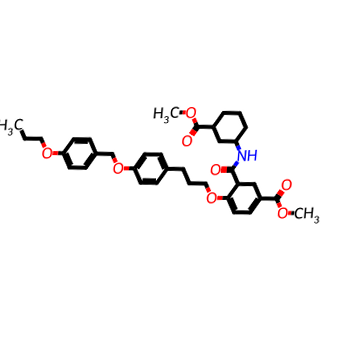 CCCOc1ccc(COc2ccc(CCCOC3=CC=C(C(=O)OC)CC3C(=O)NC3CCCC(C(=O)OC)C3)cc2)cc1